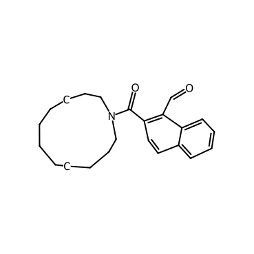 O=Cc1c(C(=O)N2CCCCCCCCCCC2)ccc2ccccc12